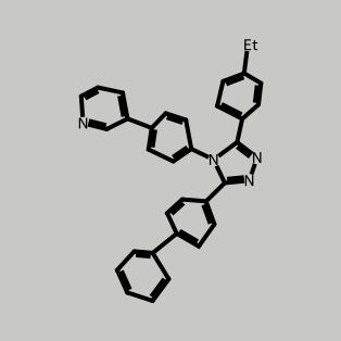 CCc1ccc(-c2nnc(-c3ccc(-c4ccccc4)cc3)n2-c2ccc(-c3cccnc3)cc2)cc1